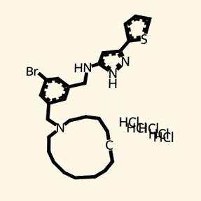 Brc1cc(CNc2cc(-c3cccs3)n[nH]2)cc(CN2CCCCCCCCCCCCC2)c1.Cl.Cl.Cl.Cl.Cl